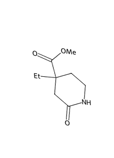 CCC1(C(=O)OC)CCNC(=O)C1